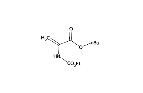 C=C(NC(=O)OCC)C(=O)OCCCC